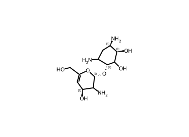 NC1C[C@@H](N)[C@@H](O)C(O)[C@@H]1O[C@H]1OC(CO)=C[C@H](O)C1N